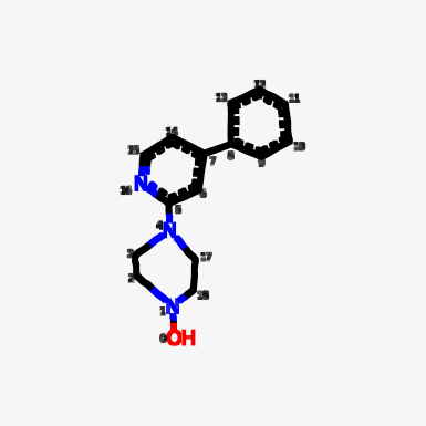 ON1CCN(c2cc(-c3ccccc3)ccn2)CC1